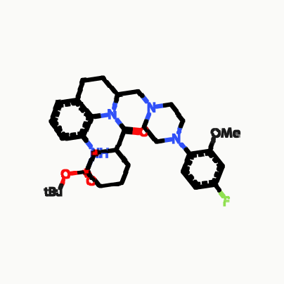 COc1cc(F)ccc1N1CCN(CC2CCc3cccc(NC(=O)OC(C)(C)C)c3N2C(=O)C2CCCCC2)CC1